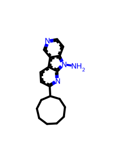 Nn1c2ccncc2c2ccc(C3CCCCCCCC3)nc21